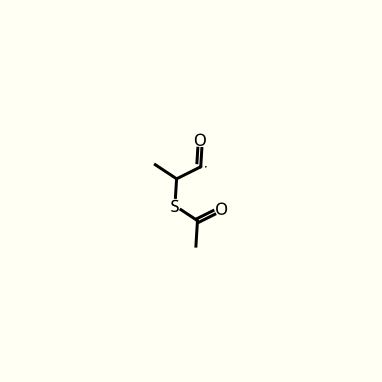 CC(=O)SC(C)[C]=O